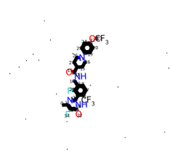 Cc1nc(-c2c(C(F)(F)F)ccc(CNC(=O)C3CCN(c4ccc(OC(F)(F)F)cc4)CC3)c2F)[nH]c(=O)c1F